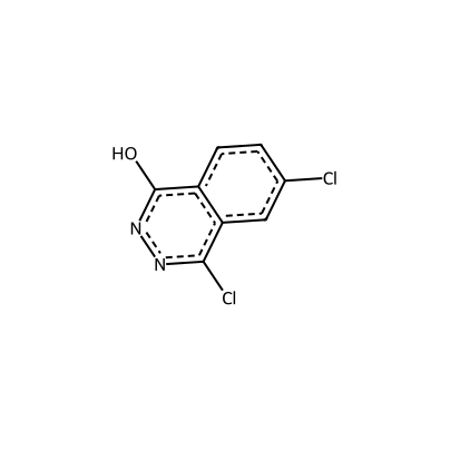 Oc1nnc(Cl)c2cc(Cl)ccc12